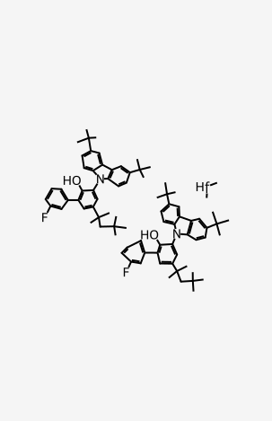 CC(C)(C)CC(C)(C)c1cc(-c2cccc(F)c2)c(O)c(-n2c3ccc(C(C)(C)C)cc3c3cc(C(C)(C)C)ccc32)c1.CC(C)(C)CC(C)(C)c1cc(-c2cccc(F)c2)c(O)c(-n2c3ccc(C(C)(C)C)cc3c3cc(C(C)(C)C)ccc32)c1.[CH3][Hf][CH3]